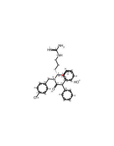 Cl.N=C(N)NCCC[C@H](C(N)=O)N(Cc1ccc(Cl)cc1)C(=O)C(c1ccccc1)c1ccccc1